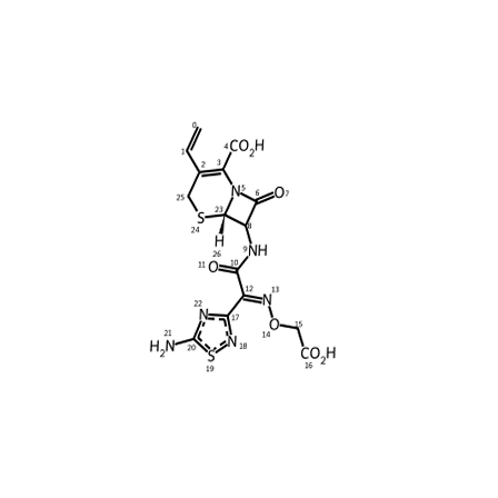 C=CC1=C(C(=O)O)N2C(=O)C(NC(=O)C(=NOCC(=O)O)c3nsc(N)n3)[C@@H]2SC1